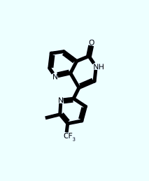 Cc1nc(-c2c[nH]c(=O)c3cccnc23)ccc1C(F)(F)F